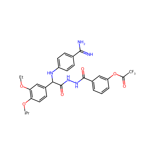 CCOc1cc(C(Nc2ccc(C(=N)N)cc2)C(=O)NNC(=O)c2cccc(OC(=O)C(F)(F)F)c2)ccc1OC(C)C